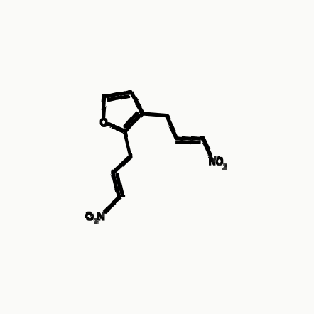 O=[N+]([O-])C=CCc1ccoc1CC=C[N+](=O)[O-]